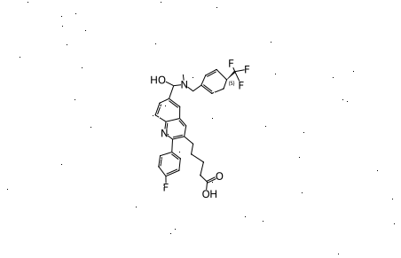 CN(CC1=CC[C@H](C(F)(F)F)C=C1)C(O)c1ccc2nc(-c3ccc(F)cc3)c(CCCCC(=O)O)cc2c1